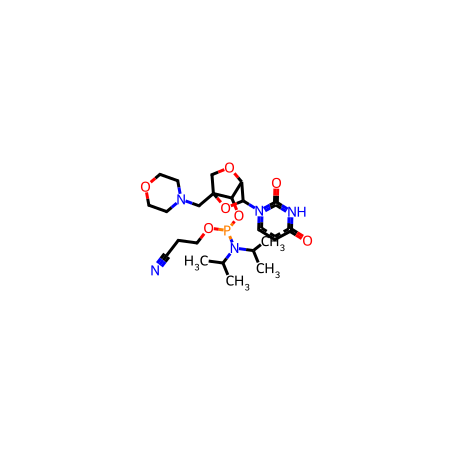 CC(C)N(C(C)C)P(OCCC#N)OC1C2OCC1(CN1CCOCC1)OC2n1ccc(=O)[nH]c1=O